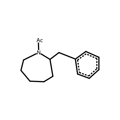 CC(=O)N1CCCCCC1Cc1ccccc1